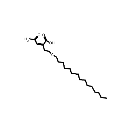 CCCCCCCCCCCCCCCCCC/C(=C/C(N)=O)C(=O)O